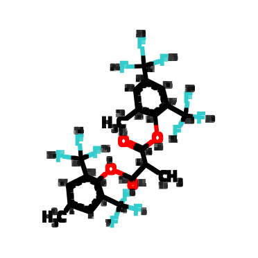 Cc1cc(C(F)(F)F)c(OC(=O)C(C)C(=O)Oc2c(C)cc(C(F)(F)F)cc2C(F)(F)F)c(C(F)(F)F)c1